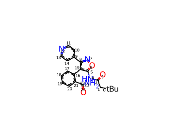 CC(C)(C)CC(=O)Nc1onc(-c2ccncc2)c1-c1ccccc1C(N)=O